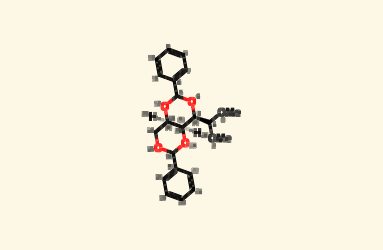 COC(OC)[C@@H]1OC(c2ccccc2)O[C@@H]2COC(c3ccccc3)O[C@@H]21